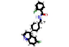 C[C@@H](NC(=O)c1ccccc1F)[C@H]1CC[C@H](c2ccnc3ccc(F)cc32)CC1